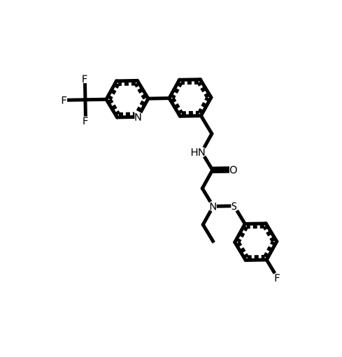 CCN(CC(=O)NCc1cccc(-c2ccc(C(F)(F)F)cn2)c1)Sc1ccc(F)cc1